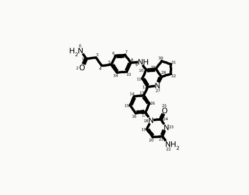 NC(=O)CCc1ccc(Nc2cc(-c3cccc(-n4ccc(N)nc4=O)c3)nc3c2CCC3)cc1